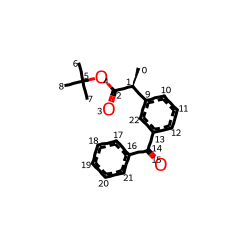 C[C@H](C(=O)OC(C)(C)C)c1cccc(C(=O)c2ccccc2)c1